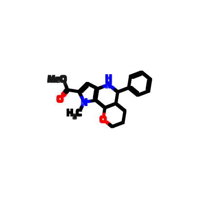 COC(=O)c1cc2c(n1C)C1OCCCC1C(c1ccccc1)N2